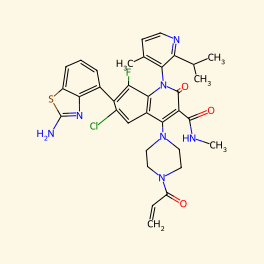 C=CC(=O)N1CCN(c2c(C(=O)NC)c(=O)n(-c3c(C)ccnc3C(C)C)c3c(F)c(-c4cccc5sc(N)nc45)c(Cl)cc23)CC1